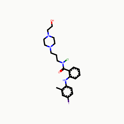 Cc1cc(I)ccc1Nc1ccccc1C(=O)N(Cl)CCCN1CCN(CCO)CC1